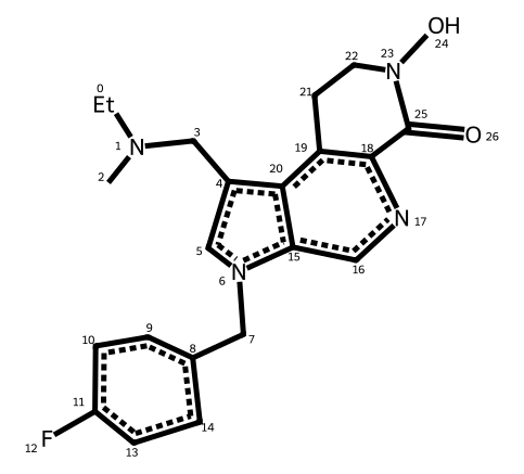 CCN(C)Cc1cn(Cc2ccc(F)cc2)c2cnc3c(c12)CCN(O)C3=O